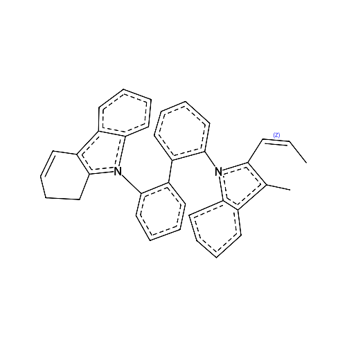 C/C=C\c1c(C)c2ccccc2n1-c1ccccc1-c1ccccc1-n1c2c(c3ccccc31)C=CCC2